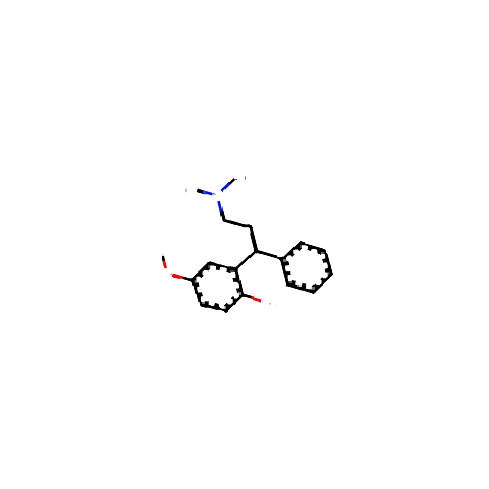 CC(C)N(CCC(c1ccccc1)c1cc(OC=O)ccc1O)C(C)C